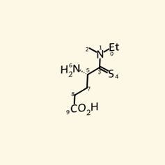 CCN(C)C(=S)[C@@H](N)CCC(=O)O